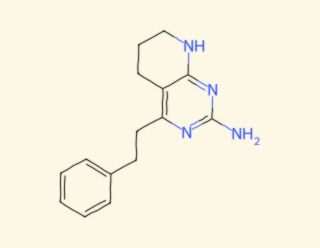 Nc1nc(CCc2ccccc2)c2c(n1)NCCC2